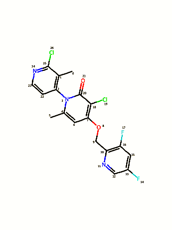 Cc1c(-n2c(C)cc(OCc3ncc(F)cc3F)c(Cl)c2=O)ccnc1Cl